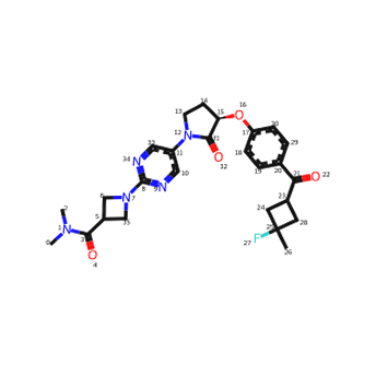 CN(C)C(=O)C1CN(c2ncc(N3CC[C@@H](Oc4ccc(C(=O)C5CC(C)(F)C5)cc4)C3=O)cn2)C1